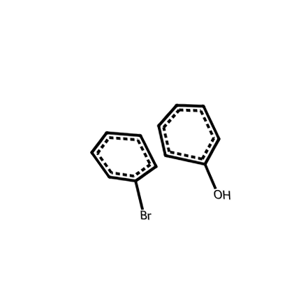 Brc1ccccc1.Oc1ccccc1